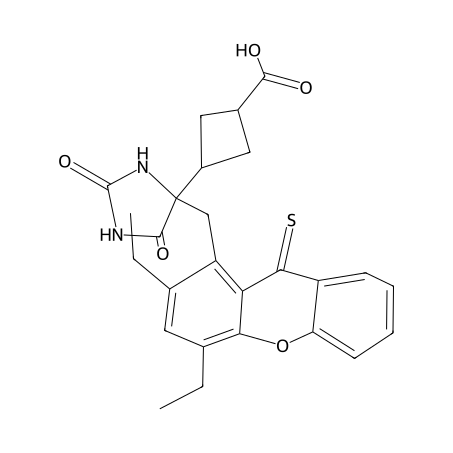 CCc1cc(CC)c2oc3ccccc3c(=S)c2c1CC1(C2CC(C(=O)O)C2)NC(=O)NC1=O